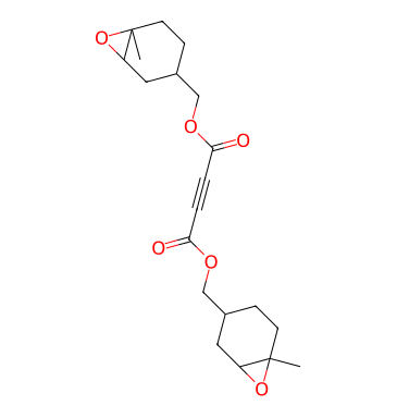 CC12CCC(COC(=O)C#CC(=O)OCC3CCC4(C)OC4C3)CC1O2